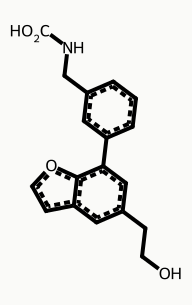 O=C(O)NCc1cccc(-c2cc(CCO)cc3ccoc23)c1